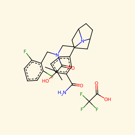 CC(C)(O)C(=O)N(CCN1C2CCC1CC(c1cccc(C(N)=O)c1)C2)Cc1c(F)cccc1F.O=C(O)C(F)(F)F